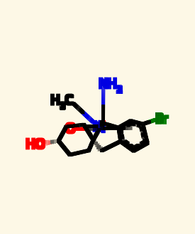 CN1C(=O)C2(N=C1N)c1cc(Br)ccc1C[C@]21CC[C@@H](O)CC1